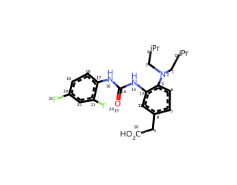 CC(C)CN(CC(C)C)c1ccc(CC(=O)O)cc1NC(=O)Nc1ccc(F)cc1F